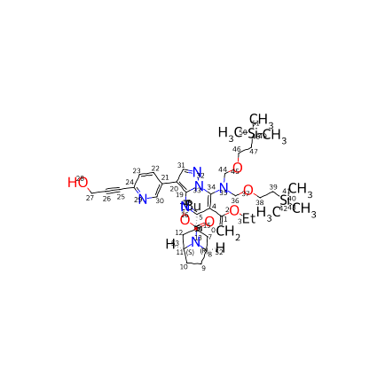 C=C(OCC)c1c([C@@H]2C[C@H]3CC[C@@H](C2)N3C(=O)OC(C)(C)C)nc2c(-c3ccc(C#CCO)nc3)cnn2c1N(COCC[Si](C)(C)C)COCC[Si](C)(C)C